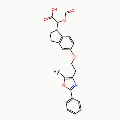 Cc1oc(-c2ccccc2)nc1CCOc1ccc2c(c1)CCC2C(OC=O)C(=O)O